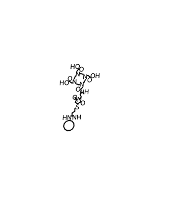 N=C(CCCSC1CC(=O)N(CCNC(=O)CN2CCN(CC(=O)O)CCN(CC(=O)O)CCN(CC(=O)O)CC2)C1=O)NC1CCCCCCCCCC1